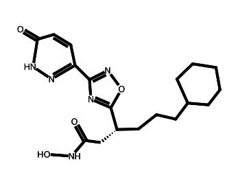 O=C(C[C@@H](CCCC1CCCCC1)c1nc(-c2ccc(=O)[nH]n2)no1)NO